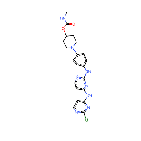 CNC(=O)OC1CCN(c2ccc(Nc3nccc(Nc4ccnc(Cl)n4)n3)cc2)CC1